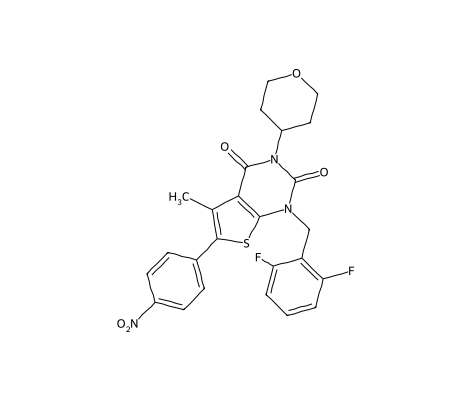 Cc1c(-c2ccc([N+](=O)[O-])cc2)sc2c1c(=O)n(C1CCOCC1)c(=O)n2Cc1c(F)cccc1F